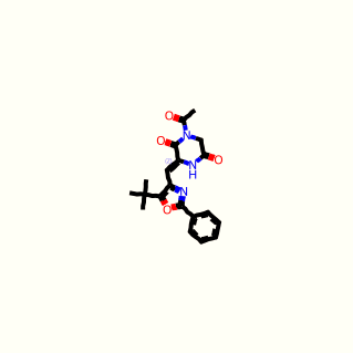 CC(=O)N1CC(=O)N/C(=C\c2nc(-c3ccccc3)oc2C(C)(C)C)C1=O